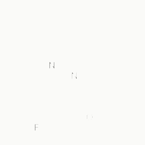 C#CCn1n[c]c(F)c1OC